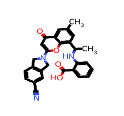 Cc1cc(C(C)Nc2ccccc2C(=O)O)c2oc(N3Cc4ccc(C#N)cc4C3)cc(=O)c2c1